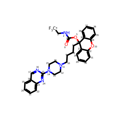 O=C(NCC(F)(F)F)OC1(CCCCN2CCN(c3ncc4ccccc4n3)CC2)c2ccccc2Oc2ccccc21